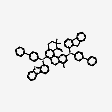 C/C=C1\c2c(cc(N(c3ccc(-c4ccccc4)cc3)c3cccc4c3oc3ccccc34)c3ccc4c(C)cc(N(c5ccc(-c6ccccc6)cc5)c5cccc6c5Cc5ccccc5-6)cc4c23)CCC1(C)C